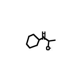 CC([O])NC1CCCCC1